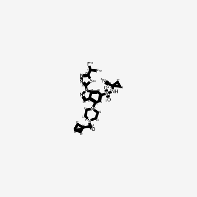 N#CC1(NS(=O)(=O)c2cc(N3CCN(C(=O)C45CC(C4)C5)CC3)c3cnn(-c4nnc(C(F)F)s4)c3c2)CC1